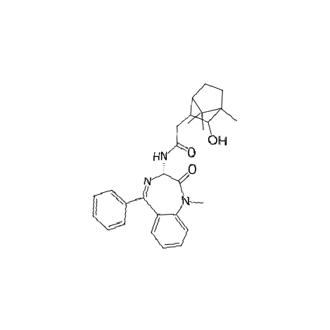 CN1C(=O)[C@@H](NC(=O)CC2C3CCC(C)(C2O)C3(C)C)N=C(c2ccccc2)c2ccccc21